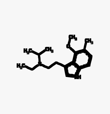 CCN(CCc1c[nH]c2ccc(C)c(OC)c12)C(C)C